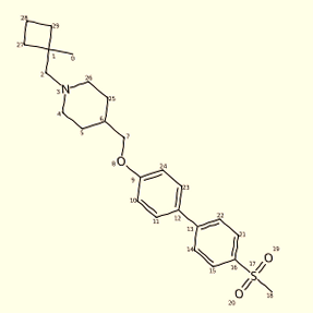 CC1(CN2CCC(COc3ccc(-c4ccc(S(C)(=O)=O)cc4)cc3)CC2)CCC1